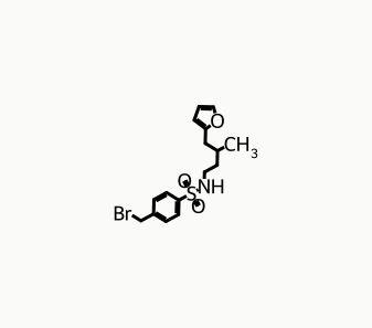 CC(CCNS(=O)(=O)c1ccc(CBr)cc1)Cc1ccco1